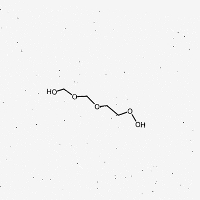 OCOCOCCOO